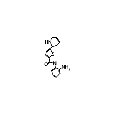 Nc1ccccc1NC(=O)c1ccc(C2CC=CCN2)s1